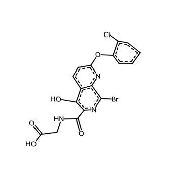 O=C(O)CNC(=O)c1nc(Br)c2nc(Oc3ccccc3Cl)ccc2c1O